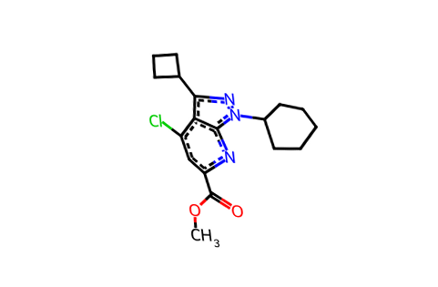 COC(=O)c1cc(Cl)c2c(C3CCC3)nn(C3CCCCC3)c2n1